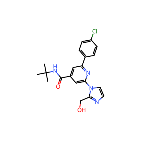 CC(C)(C)NC(=O)c1cc(-c2ccc(Cl)cc2)nc(-n2ccnc2CO)c1